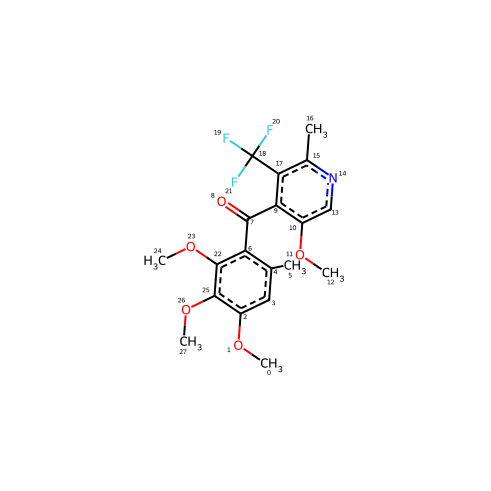 COc1cc(C)c(C(=O)c2c(OC)cnc(C)c2C(F)(F)F)c(OC)c1OC